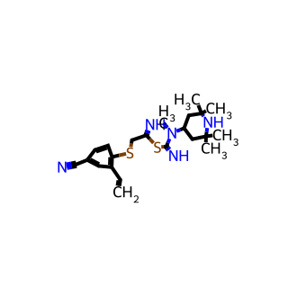 C=Cc1cc(C#N)ccc1SCC(=N)SC(=N)N(C)C1CC(C)(C)NC(C)(C)C1